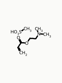 C=CC(=O)OCCN(C)C.CS(=O)(=O)O